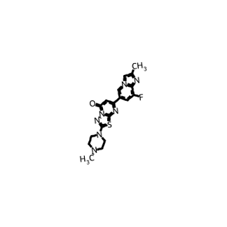 Cc1cn2cc(-c3cc(=O)n4nc(N5CCN(C)CC5)sc4n3)cc(F)c2n1